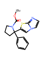 CC(C)(C)OC(=O)N1CCCC1(c1ccccc1)c1cn2ccnc2s1